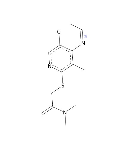 C=C(CSc1ncc(Cl)c(/N=C\C)c1C)N(C)C